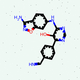 N=Cc1ccc(-c2ncnc(Nc3ccc4c(N)noc4c3)c2O)cc1